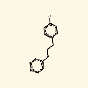 CC(C)c1ccc(CCCc2ccncc2)cc1